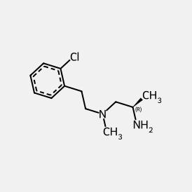 C[C@@H](N)CN(C)CCc1ccccc1Cl